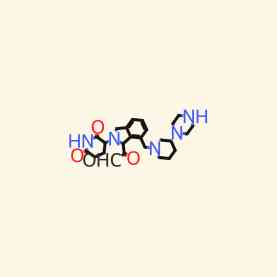 O=CC(=O)C1c2c(CN3CCCC(N4CCNCC4)C3)cccc2CN1C1CCC(=O)NC1=O